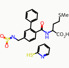 CSCCC(NC(=O)c1ccc(CN=S(=O)=O)cc1-c1ccccc1)C(=O)O.Sc1ccccn1